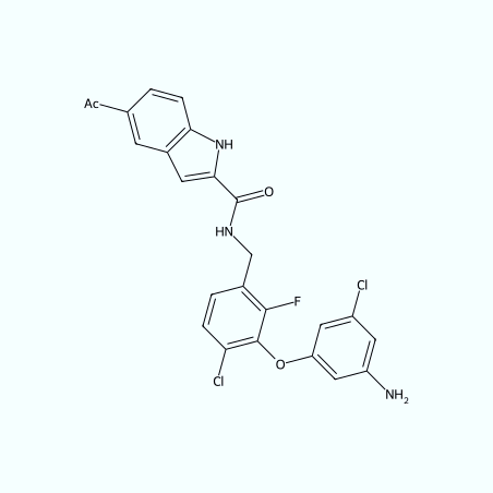 CC(=O)c1ccc2[nH]c(C(=O)NCc3ccc(Cl)c(Oc4cc(N)cc(Cl)c4)c3F)cc2c1